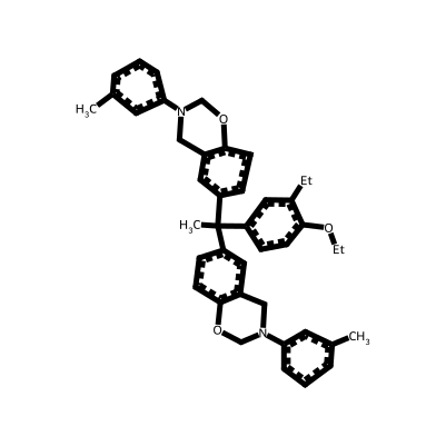 CCOc1ccc(C(C)(c2ccc3c(c2)CN(c2cccc(C)c2)CO3)c2ccc3c(c2)CN(c2cccc(C)c2)CO3)cc1CC